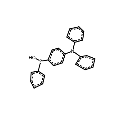 OP(c1ccccc1)c1ccc(N(c2ccccc2)c2ccccc2)cc1